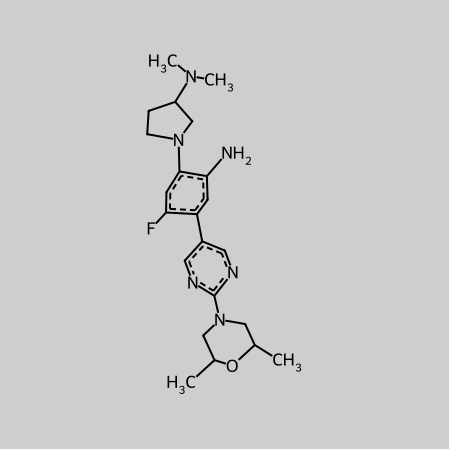 CC1CN(c2ncc(-c3cc(N)c(N4CCC(N(C)C)C4)cc3F)cn2)CC(C)O1